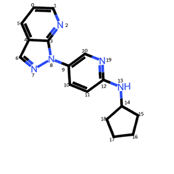 c1cnc2c(c1)cnn2-c1ccc(NC2CCCC2)nc1